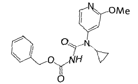 COc1cc(N(C(=O)NC(=O)OCc2ccccc2)C2CC2)ccn1